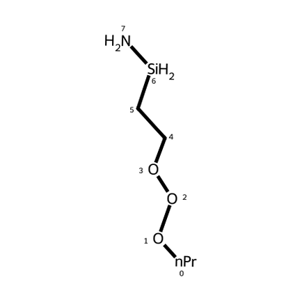 CCCOOOCC[SiH2]N